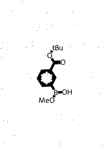 COB(O)c1cccc(C(=O)OC(C)(C)C)c1